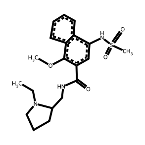 CCN1CCCC1CNC(=O)c1cc(NS(C)(=O)=O)c2ccccc2c1OC